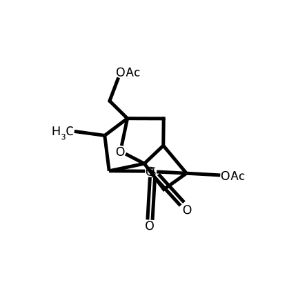 CC(=O)OCC12CC3C4(CC3(OC(C)=O)S(=O)(=O)OC4C1C)O2